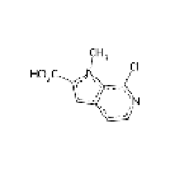 Cn1c(C(=O)O)cc2ccnc(Cl)c21